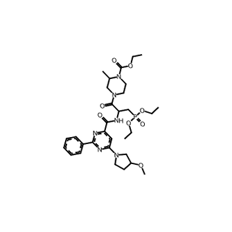 CCOC(=O)N1CCN(C(=O)C(CP(=O)(OCC)OCC)NC(=O)c2cc(N3CCC(OC)C3)nc(-c3ccccc3)n2)CC1C